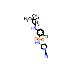 CC(C)(C)CCNc1ccc(Cl)c(S(=O)(=O)N[C@@H]2CCN(C#N)C2)c1